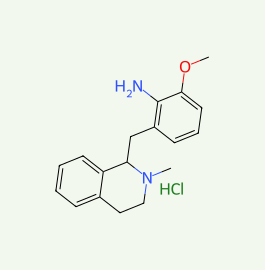 COc1cccc(CC2c3ccccc3CCN2C)c1N.Cl